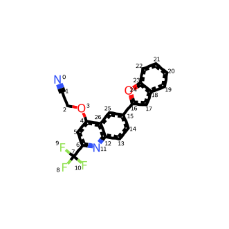 N#CCOc1cc(C(F)(F)F)nc2ccc(-c3cc4ccccc4o3)cc12